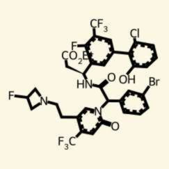 CCOC(=O)C[C@H](NC(=O)C(c1cccc(Br)c1)n1cc(CCN2CC(F)C2)c(C(F)(F)F)cc1=O)c1cc(-c2c(O)cccc2Cl)cc(C(F)(F)F)c1F